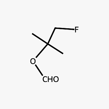 CC(C)(CF)OC=O